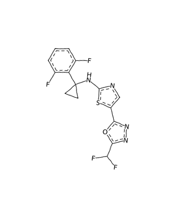 Fc1cccc(F)c1C1(Nc2ncc(-c3nnc(C(F)F)o3)s2)CC1